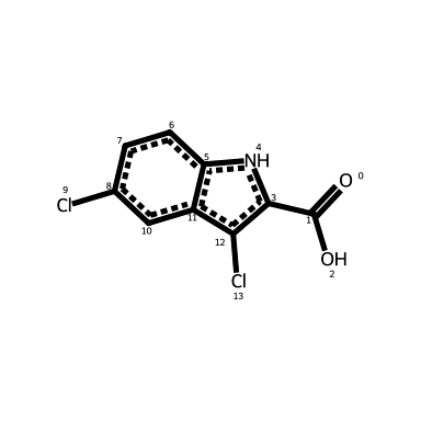 O=C(O)c1[nH]c2ccc(Cl)cc2c1Cl